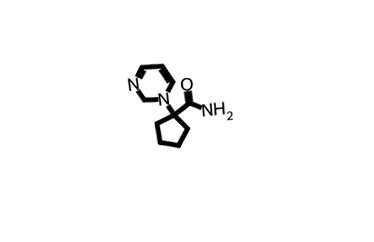 NC(=O)C1(N2C=CC=NC2)CCCC1